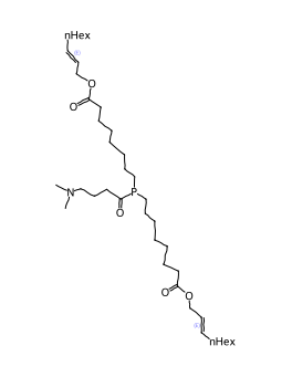 CCCCCC/C=C/COC(=O)CCCCCCCP(CCCCCCCC(=O)OC/C=C/CCCCCC)C(=O)CCCN(C)C